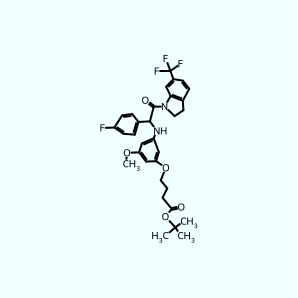 COc1cc(NC(C(=O)N2CCc3ccc(C(F)(F)F)cc32)c2ccc(F)cc2)cc(OCCCC(=O)OC(C)(C)C)c1